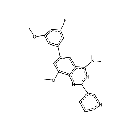 CNc1nc(-c2cccnc2)nc2c(OC)cc(-c3cc(F)cc(OC)c3)cc12